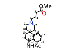 COC(=O)CCCN1CCC2(CC[C@H](NC(C)=O)c3ccccc32)CC1